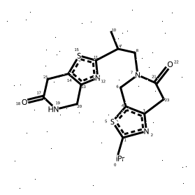 CC(C)c1nc2c(s1)CN(CC(C)c1nc3c(s1)CC(=O)NC3)C(=O)C2